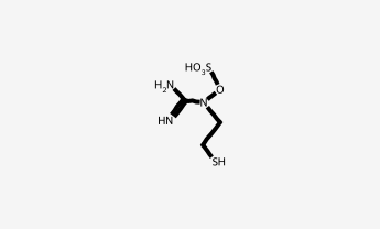 N=C(N)N(CCS)OS(=O)(=O)O